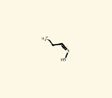 CC/C=N\S